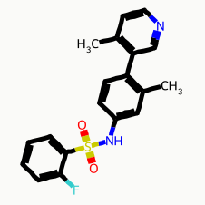 Cc1cc(NS(=O)(=O)c2ccccc2F)ccc1-c1cnccc1C